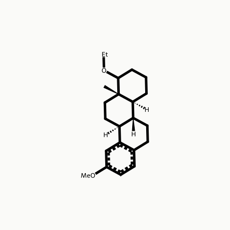 CCOC1CCC[C@H]2[C@@H]3CCc4c[c]c(OC)cc4[C@H]3CC[C@]12C